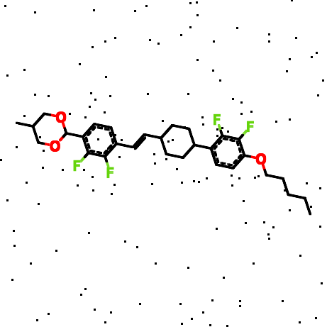 CCCCCOc1ccc(C2CCC(/C=C/c3ccc(C4OCC(C)CO4)c(F)c3F)CC2)c(F)c1F